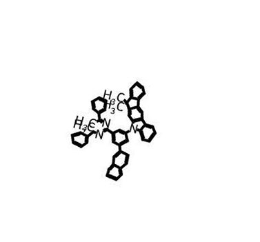 C=C(/N=C(\N=C(/C)c1ccccc1)c1cc(-c2ccc3ccccc3c2)cc(-n2c3ccccc3c3cc4c(cc32)C(C)(C)c2ccccc2-4)c1)c1ccccc1